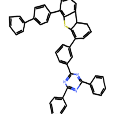 C1=CC(c2cccc(-c3nc(-c4ccccc4)nc(-c4ccccc4)n3)c2)=C2Sc3c(-c4ccc(-c5ccccc5)cc4)cccc3C2C1